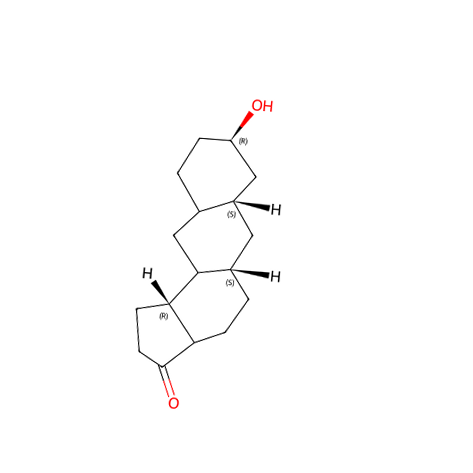 O=C1CC[C@H]2C1CC[C@H]1C[C@H]3C[C@H](O)CCC3CC12